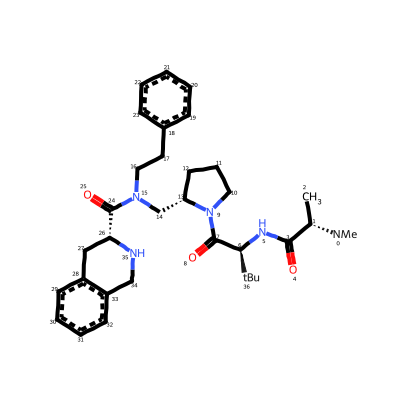 CN[C@@H](C)C(=O)N[C@H](C(=O)N1CCC[C@H]1CN(CCc1ccccc1)C(=O)[C@H]1Cc2ccccc2CN1)C(C)(C)C